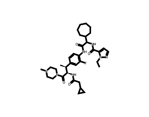 CCn1nccc1C(=O)NC(C(=O)Nc1ccc([C@H](C)[C@@H](NC(=O)CC2CC2)C(=O)N2CCN(C)CC2)cc1F)C1CCCCCC1